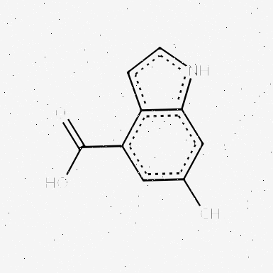 Cc1cc(C(=O)O)c2cc[nH]c2c1